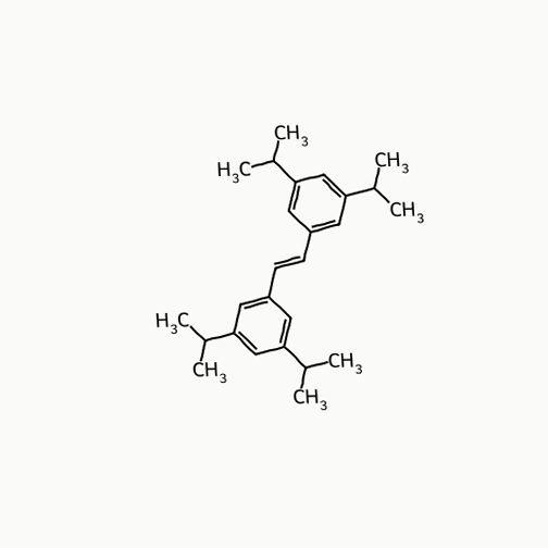 CC(C)c1cc(/C=C/c2cc(C(C)C)cc(C(C)C)c2)cc(C(C)C)c1